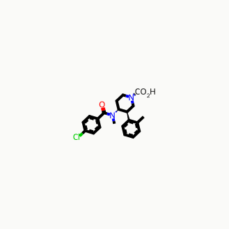 Cc1ccccc1[C@@H]1CN(C(=O)O)CC[C@H]1N(C)C(=O)c1ccc(Cl)cc1